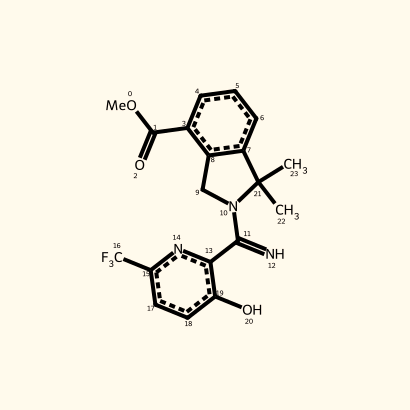 COC(=O)c1cccc2c1CN(C(=N)c1nc(C(F)(F)F)ccc1O)C2(C)C